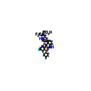 O=C(CC(c1ccc(F)cc1)c1cncc(F)c1)Nc1cccc(F)c1CC[C@@H]1CN[C@@H](CN(CC(F)(F)F)C(=O)O)CO1